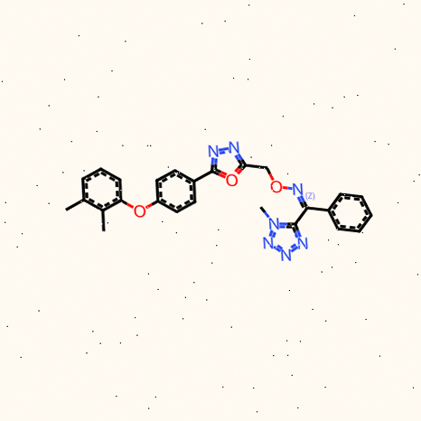 Cc1cccc(Oc2ccc(-c3nnc(CO/N=C(/c4ccccc4)c4nnnn4C)o3)cc2)c1C